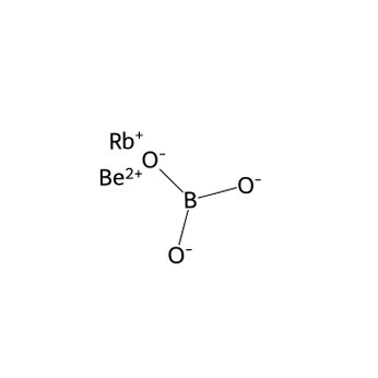 [Be+2].[O-]B([O-])[O-].[Rb+]